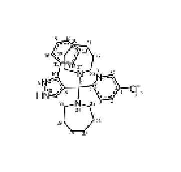 FC(F)(F)c1ccc(C(c2c[nH]nc2-c2ccccc2)(N2CCCCCC2)N2CCCCCC2)nc1